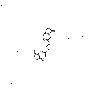 O=C(CN1C(=O)C=CC1=O)OCOC(=O)ON1C(=O)CCC1=O